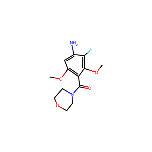 COc1cc(N)c(F)c(OC)c1C(=O)N1CCOCC1